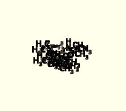 CC(C)(C)[S@+]([O-])N[C@@H](CC#C[Si](C)(C)C)[C@@H](CO[Si](C)(C)C(C)(C)C)O[Si](C)(C)C(C)(C)C